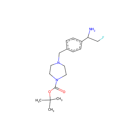 CC(C)(C)OC(=O)N1CCN(Cc2ccc(C(N)CF)cc2)CC1